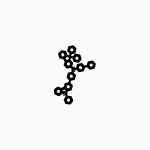 c1ccc(-c2ccc(B(c3ccc(-c4ccc5c(c4)c4ccccc4n5-c4ccccc4)cc3)c3ccc4c(c3)C(c3ccccc3)(c3ccccc3)c3ccccc3-4)cc2)cc1